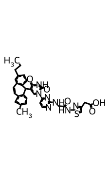 CCCc1ccc2c(c1)C=Cc1cc(C)ccc1C2c1cn(-c2ccnc(NCC(=O)Nc3nc(CC(=O)O)cs3)n2)c(=O)[nH]c1=O